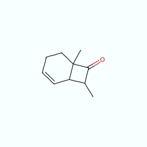 CC1C(=O)C2(C)CCC=CC12